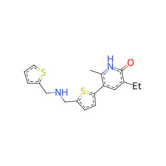 CCc1cc(-c2ccc(CNCc3cccs3)s2)c(C)[nH]c1=O